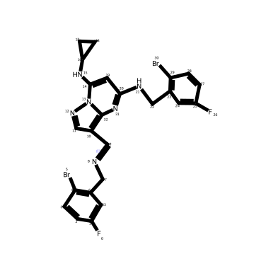 Fc1ccc(Br)c(C/N=C/c2cnn3c(NC4CC4)cc(NCc4cc(F)ccc4Br)nc23)c1